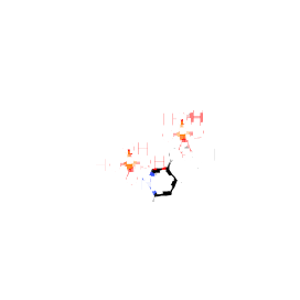 O=C(O)c1cccnc1.O=P(O)(O)O.O=P(O)(O)O